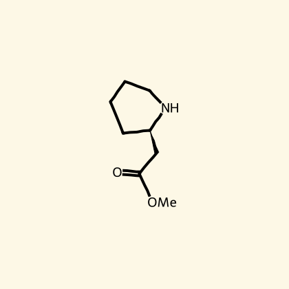 COC(=O)C[C@H]1CCCCN1